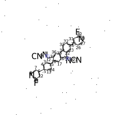 [C-]#[N+]/N=c1\c2cc(-c3ccnc(F)c3)ccc2c2cc3/c(=N/C#N)c4cc(-c5ccnc(F)c5)ccc4c3cc12